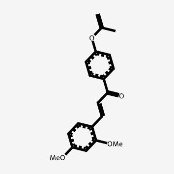 C=C(C)Oc1ccc(C(=O)C=Cc2ccc(OC)cc2OC)cc1